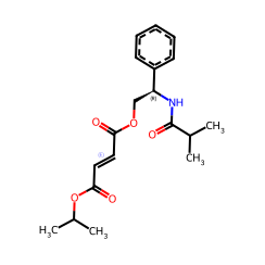 CC(C)OC(=O)/C=C/C(=O)OC[C@H](NC(=O)C(C)C)c1ccccc1